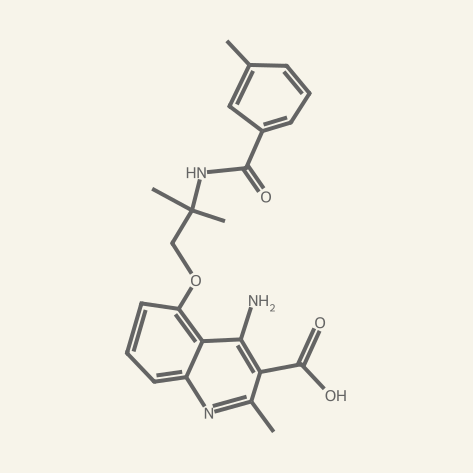 Cc1cccc(C(=O)NC(C)(C)COc2cccc3nc(C)c(C(=O)O)c(N)c23)c1